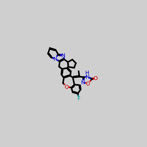 CC(=C1c2ccc(Cc3c(C4CCCC4)nc4ccccn34)cc2COc2cc(F)ccc21)c1noc(=O)[nH]1